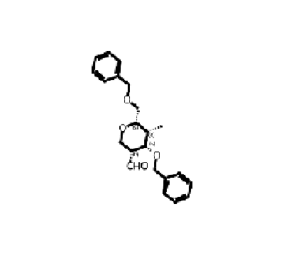 C[C@@H]1[C@H](OCc2ccccc2)[C@H](C=O)CO[C@@H]1COCc1ccccc1